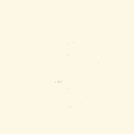 O=C(CN1CCOCC1)NC1CCN(C(=O)c2cc(C(F)(F)F)cc(C(F)(F)F)c2)C(Cc2ccccc2)C1